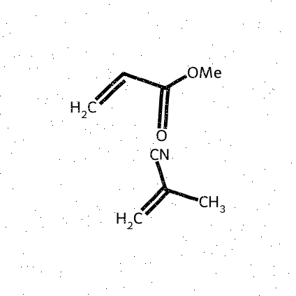 C=C(C)C#N.C=CC(=O)OC